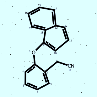 N#CCc1ccccc1Oc1cccc2ccccc12